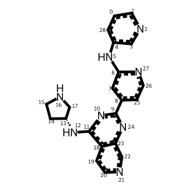 c1cncc(Nc2cc(-c3nc(N[C@@H]4CCNC4)c4ccncc4n3)ccn2)c1